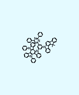 CC1(C)c2ccccc2-c2ccc3c(c21)c1ccccc1n3-c1cc(-c2nc(-c3ccccc3)nc(-c3ccccc3)n2)cc(-n2c3ccccc3c3c4c(c5ccccc5n4-c4ccccc4)c4c(c5ccccc5n4-c4ccccc4)c32)c1